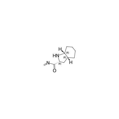 C=NC(=O)[C@H]1C[C@H]2CCCC[C@H]2N1